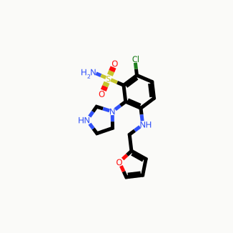 NS(=O)(=O)c1c(Cl)ccc(NCc2ccco2)c1N1CCNC1